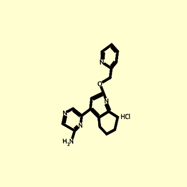 Cl.Nc1cncc(-c2cc(OCc3ccccn3)nc3c2CCCC3)n1